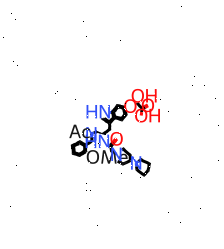 COc1ccccc1CN(C[C@@H](Cc1c[nH]c2ccccc12)NC(=O)CN1CCC(N2CCCCC2)CC1)C(C)=O.O=C(O)C(=O)O